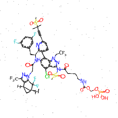 CC(C)(C#Cc1ccc(-c2ccc(Cl)c3c(N(C(=O)CCCNC(=O)OCOP(=O)(O)O)S(C)(=O)=O)nn(CC(F)(F)F)c23)c([C@H](Cc2cc(F)cc(F)c2)NC(=O)Cn2nc(C(F)(F)F)c3c2C(F)(F)[C@@H]2C[C@H]32)n1)S(C)(=O)=O